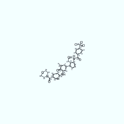 Cn1cc(-c2cccc(NC(=O)c3ccc(C(Cl)(Cl)Cl)cc3)c2CO)cc(Nc2ccc(C(=O)N3CCOCC3)cn2)c1=O